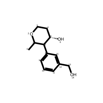 CC1OCC[C@H](O)C1c1cccc(CO)c1